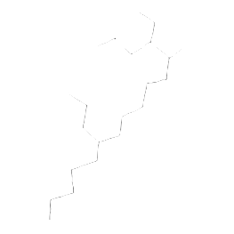 CCCCCC(C[CH]CCCC(C)C(CC)CCC)CCC